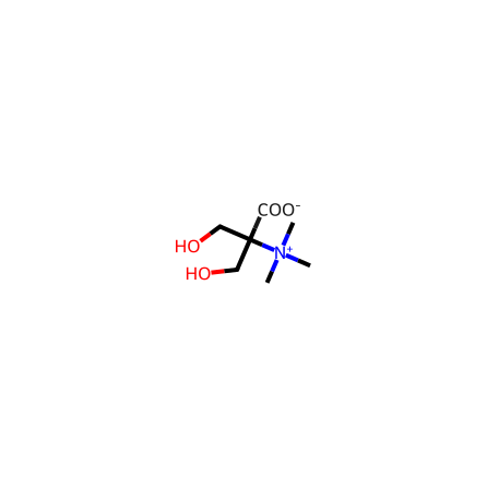 C[N+](C)(C)C(CO)(CO)C(=O)[O-]